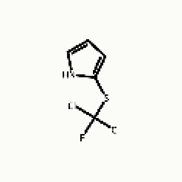 FC(Cl)(Cl)Sc1ccc[nH]1